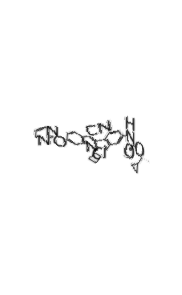 C[C@@H](OC(=O)Nc1ccc(-c2c(C#N)c3ccc(Oc4ncccn4)cc3n2C2CCC2)c(Cl)c1)C1CC1